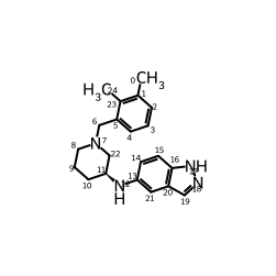 Cc1cccc(CN2CCC[C@H](Nc3ccc4[nH]ncc4c3)C2)c1C